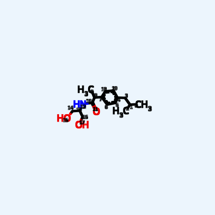 CC(C)Cc1ccc(C(C)C(=O)NC(CO)CO)cc1